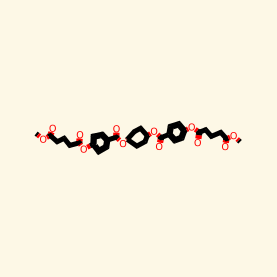 COC(=O)CCCC(=O)Oc1ccc(C(=O)OC2CCC(OC(=O)c3ccc(OC(=O)CCCC(=O)OC)cc3)CC2)cc1